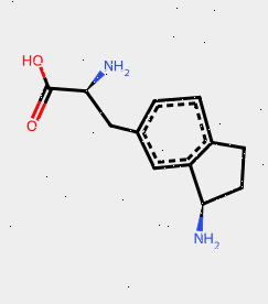 N[C@@H]1CCc2ccc(C[C@H](N)C(=O)O)cc21